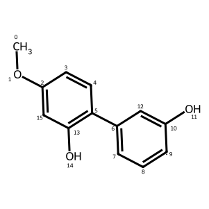 COc1ccc(-c2cc[c]c(O)c2)c(O)c1